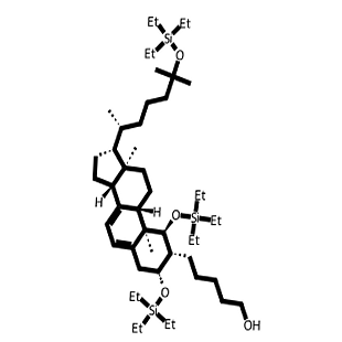 CC[Si](CC)(CC)O[C@@H]1CC2=CC=C3[C@@H]4CC[C@H]([C@H](C)CCCC(C)(C)O[Si](CC)(CC)CC)[C@@]4(C)CC[C@@H]3[C@@]2(C)[C@@H](O[Si](CC)(CC)CC)[C@@H]1CCCCCO